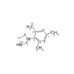 Cc1cc(C)c(N2[C]NCC2)c(C)c1